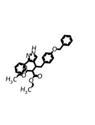 CCOC(=O)C(C(=O)OCC)C(Cc1ccc(OCc2ccccc2)cc1)c1c[nH]nc1-c1ccccc1